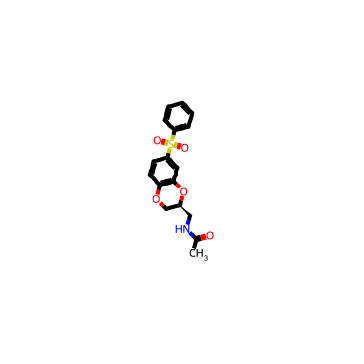 CC(=O)NC[C@H]1COc2ccc(S(=O)(=O)c3ccccc3)cc2O1